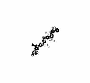 Cc1cc(C(=O)N2CCC(C(C)N3CCC(n4cc(C5CC5)c5cc(N6CCC(=O)NC6=O)cnc54)CC3)CC2)ccc1[C@H]1CCCN(c2cc(-c3ccccc3O)nnc2N)C1